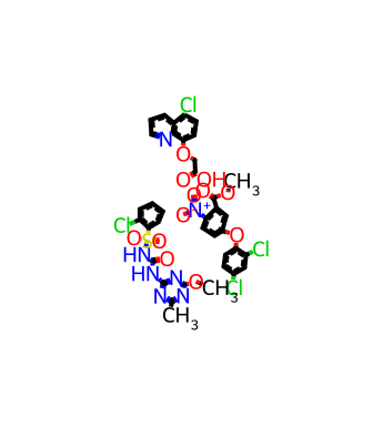 COC(=O)c1cc(Oc2ccc(Cl)cc2Cl)ccc1[N+](=O)[O-].COc1nc(C)nc(NC(=O)NS(=O)(=O)c2ccccc2Cl)n1.O=C(O)COc1ccc(Cl)c2cccnc12